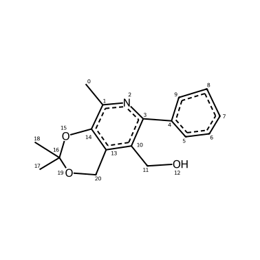 Cc1nc(-c2ccccc2)c(CO)c2c1OC(C)(C)OC2